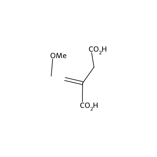 C=C(CC(=O)O)C(=O)O.COC